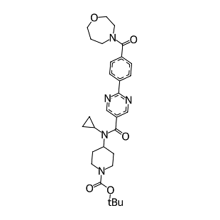 CC(C)(C)OC(=O)N1CCC(N(C(=O)c2cnc(-c3ccc(C(=O)N4CCCOCC4)cc3)nc2)C2CC2)CC1